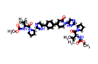 COC(=O)NC(C(=O)N1CCC[C@H]1c1ncc(-c2ccc(-c3ccn(-c4cnc([C@@H]5CCCN5C(=O)[C@@H](NC(=O)OC)C(C)C)[nH]4)c(=O)c3)cc2)[nH]1)C(C)C